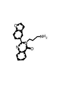 NCCCn1c(-c2ccc3occc3c2)nc2ccccc2c1=O